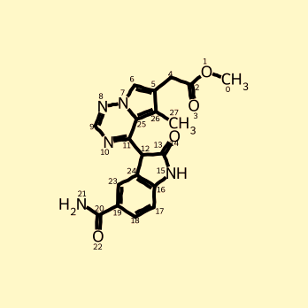 COC(=O)Cc1cn2ncnc(C3C(=O)Nc4ccc(C(N)=O)cc43)c2c1C